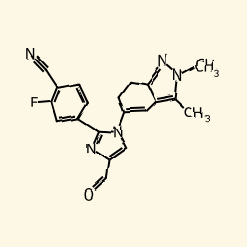 Cc1c2c(nn1C)CCC(n1cc(C=O)nc1-c1ccc(C#N)c(F)c1)=C2